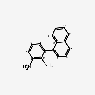 Nc1cccc(-c2cccc3ccccc23)c1N